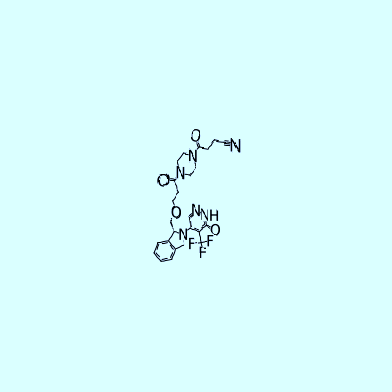 N#CCCC(=O)N1CCN(C(=O)CCOC[C@@H]2c3ccccc3CN2c2cn[nH]c(=O)c2C(F)(F)F)CC1